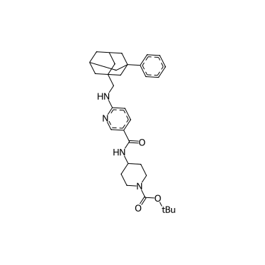 CC(C)(C)OC(=O)N1CCC(NC(=O)c2ccc(NCC34CC5CC(C3)CC(c3ccccc3)(C5)C4)nc2)CC1